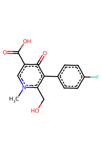 Cn1cc(C(=O)O)c(=O)c(-c2ccc(F)cc2)c1CO